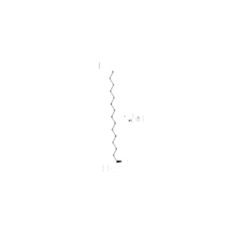 CCCCCCCCCCCCCCCC(=O)O.[NaH].[Zn]